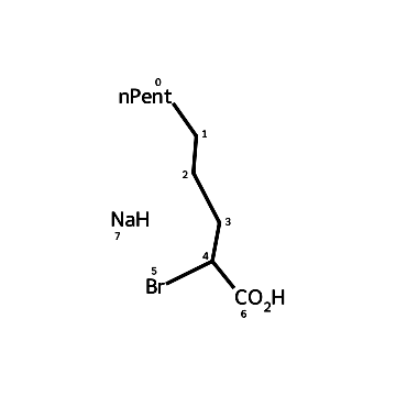 CCCCCCCCC(Br)C(=O)O.[NaH]